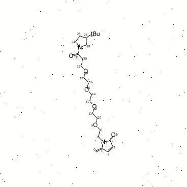 C=C1C=CC(=O)N1CCOCCOCCOCCOCCC(=O)N1CCC(C(C)(C)C)C1